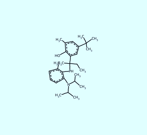 CCC(C)(Pc1c(C)cccc1N(C(C)C)C(C)C)c1cc(C(C)(C)C)cc(C)c1O